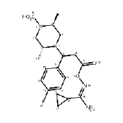 C[C@@H]1CN(C(=O)O)[C@@H](C)CN1C(CC(=O)O/N=C(/N)C1CC1)c1ccc(F)cc1